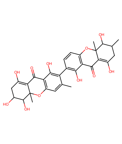 Cc1cc2c(c(O)c1-c1ccc3c(c1O)C(=O)C1=C(O)CC(C)C(O)C1(C)O3)C(=O)C1=C(O)CC(O)C(O)C1(C)O2